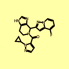 O=C(c1ccnn1C1CC1)N1CCc2[nH]cnc2C1c1cc2c(F)cccn2n1